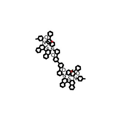 Cc1ccc(N(c2cccc3c2oc2ccccc23)c2cc3ccccc3c3c2sc2c(N(c4ccc(C)cc4)c4cccc5c4oc4ccc(-c6ccc7oc8c(N(c9cccc(C)c9)c9cc%10ccccc%10c%10c9sc9c(N(c%11cccc(C)c%11)c%11cccc%12c%11oc%11ccccc%11%12)cc%11ccccc%11c9%10)cccc8c7c6)cc45)cc4ccccc4c23)cc1